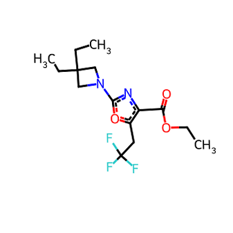 CCOC(=O)c1nc(N2CC(CC)(CC)C2)oc1CC(F)(F)F